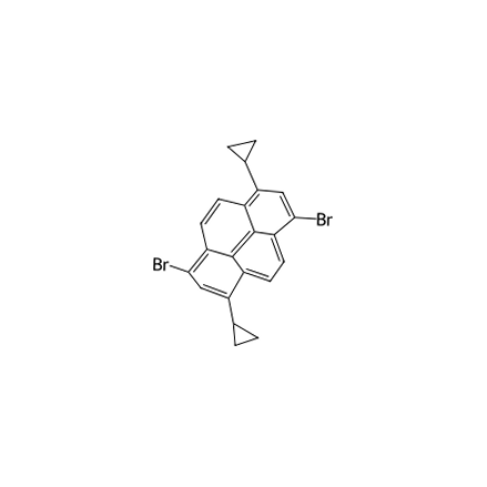 Brc1cc(C2CC2)c2ccc3c(Br)cc(C4CC4)c4ccc1c2c34